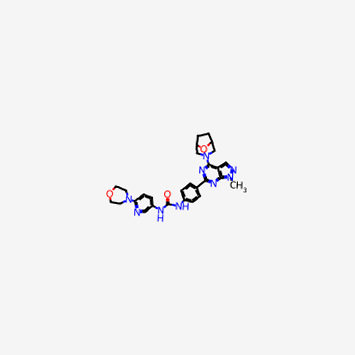 Cn1ncc2c(N3CC4CCC(C3)O4)nc(-c3ccc(NC(=O)Nc4ccc(N5CCOCC5)nc4)cc3)nc21